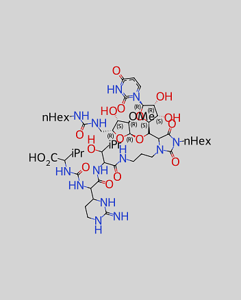 CCCCCCNC(=O)NC[C@H]1O[C@H](OC(C2C(=O)N(CCCCCC)C(=O)N2CCCNC(=O)C(NC(=O)C(NC(=O)NC(C(=O)O)C(C)C)C2CCNC(=N)N2)C(O)C(C)C)[C@H]2O[C@@H](n3ccc(=O)[nH]c3=O)[C@H](O)[C@@H]2O)[C@H](OC)[C@H]1O